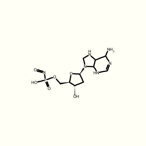 NC1N=CNC2C1NCN2[C@H]1C[C@H](O)[C@@H](COP(=O)(O)N=O)O1